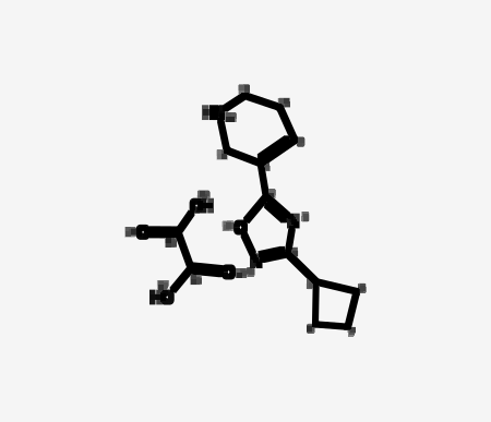 C1=C(c2nc(C3CCC3)no2)CNCC1.O=C(O)C(=O)O